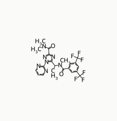 CC(c1nc(C(=O)N(C)C)nn1-c1ncccn1)N(C)C(=O)c1cc(C(F)(F)F)cc(C(F)(F)F)c1